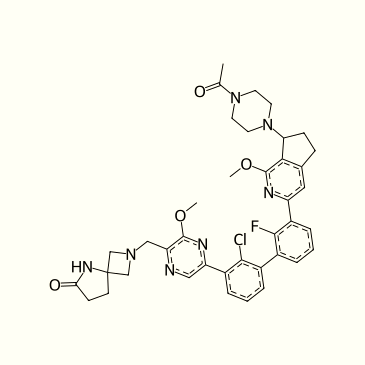 COc1nc(-c2cccc(-c3cccc(-c4cc5c(c(OC)n4)C(N4CCN(C(C)=O)CC4)CC5)c3F)c2Cl)cnc1CN1CC2(CCC(=O)N2)C1